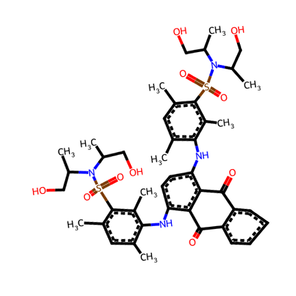 Cc1cc(C)c(S(=O)(=O)N(C(C)CO)C(C)CO)c(C)c1Nc1ccc(Nc2c(C)cc(C)c(S(=O)(=O)N(C(C)CO)C(C)CO)c2C)c2c1C(=O)c1ccccc1C2=O